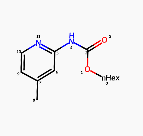 CCCCCCOC(=O)Nc1cc(C)ccn1